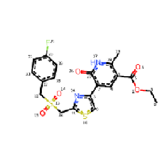 CCOC(=O)c1cc(-c2csc(CS(=O)(=O)Cc3ccc(F)cc3)n2)c(=O)[nH]c1C